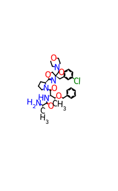 C[C@H](N)C(=O)N[C@H](C(=O)N1CCC[C@H]1C1=N[C@@](Cc2cccc(Cl)c2)(C(=O)N2CCOCC2)CO1)[C@@H](C)OCc1ccccc1